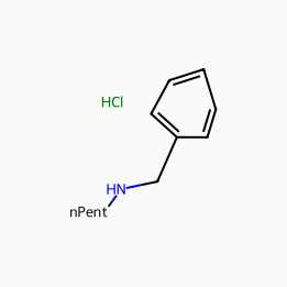 CCCCCNCc1ccccc1.Cl